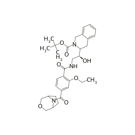 CCOc1cc(C(=O)N2C3CCC2COC3)ccc1C(=O)NC[C@H](O)C1Cc2ccccc2CN1C(=O)OC(C)(C)C